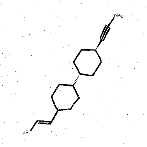 CCC/C=C/C1CCC([C@H]2CC[C@H](C#CCCCC)CC2)CC1